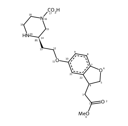 COC(=O)CC1COc2ccc(OCC[C@@H]3CN(C(=O)O)CCN3)cc21